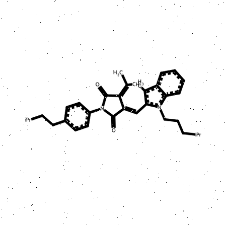 CC(C)=C1C(=O)N(c2ccc(CCC(C)C)cc2)C(=O)/C1=C/c1c(C)c2ccccc2n1CCCC(C)C